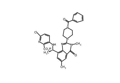 Cc1cc([C@@H](C)Nc2ccc(Cl)nc2C(=O)O)c2nc(N3CCN(C(=O)c4ccccc4)CC3)n(C)c(=O)c2c1